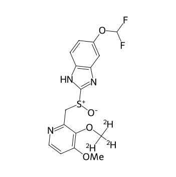 [2H]C([2H])([2H])Oc1c(OC)ccnc1C[S+]([O-])c1nc2cc(OC(F)F)ccc2[nH]1